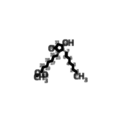 CCCCCCC=C[C@H]1[C@H](O)CC(=O)[C@@H]1CCCCCCC(=O)OC